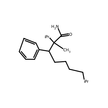 CC(C)CCCCC(c1ccccc1)C(C)(C(N)=O)C(C)C